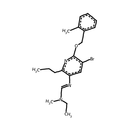 CCCc1nc(OCc2ccccc2C)c(Br)cc1/N=C/N(C)CC